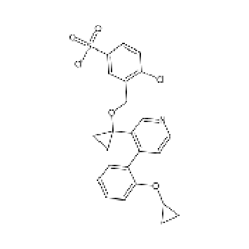 O=S(=O)(Cl)c1ccc(Cl)c(COC2(c3cnccc3-c3ccccc3OC3CC3)CC2)c1